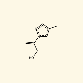 C=C(CO)n1cc(C)cn1